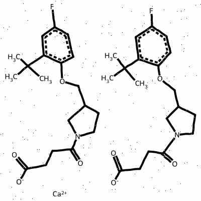 CC(C)(C)c1cc(F)ccc1OCC1CCN(C(=O)CCC(=O)[O-])C1.CC(C)(C)c1cc(F)ccc1OCC1CCN(C(=O)CCC(=O)[O-])C1.[Ca+2]